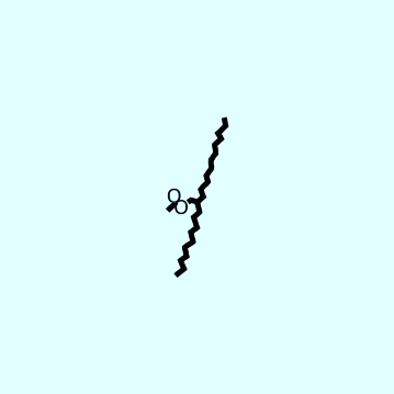 CCCCCCCCCCCCC(CCCCCCCCCC)COC(C)=O